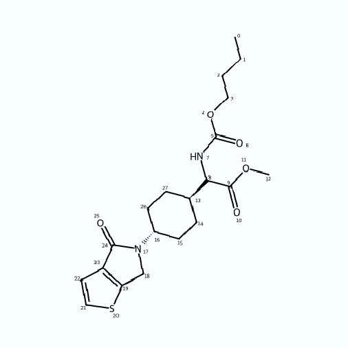 CCCCOC(=O)NC(C(=O)OC)[C@H]1CC[C@H](N2Cc3sccc3C2=O)CC1